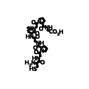 NC(CS)C(=O)NCC(=O)N1CCCC1C(=O)NCC(=O)NC(CS)C(=O)NCC(=O)N1CCCC1C(=O)NCC(=O)O